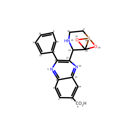 O=C(O)c1ccc2nc(-c3ccccc3)c(C3NCCS45OC34O5)nc2c1